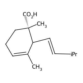 CC1=CCC[C@](C)(C(=O)O)C1/C=C/C(C)C